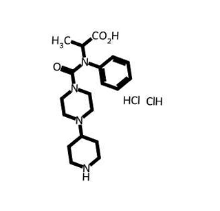 CC(C(=O)O)N(C(=O)N1CCN(C2CCNCC2)CC1)c1ccccc1.Cl.Cl